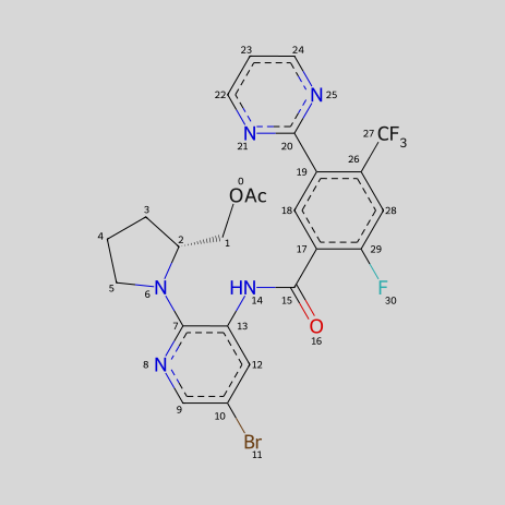 CC(=O)OC[C@H]1CCCN1c1ncc(Br)cc1NC(=O)c1cc(-c2ncccn2)c(C(F)(F)F)cc1F